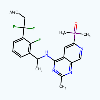 COCC(F)(F)c1cccc(C(C)Nc2nc(C)nc3cnc(P(C)(C)=O)cc23)c1F